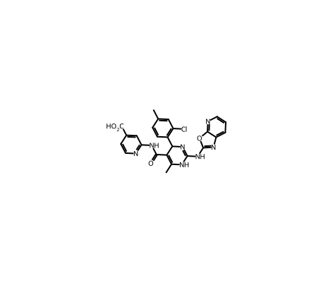 CC1=C(C(=O)Nc2cc(C(=O)O)ccn2)C(c2ccc(C)cc2Cl)N=C(Nc2nc3cccnc3o2)N1